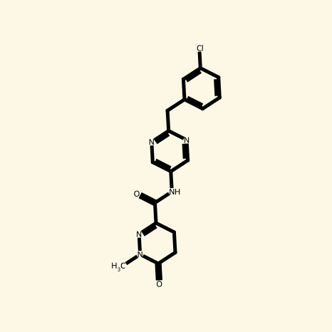 CN1N=C(C(=O)Nc2cnc(Cc3cccc(Cl)c3)nc2)CCC1=O